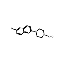 O=CN1CCN(c2ccc3cc(I)ccc3n2)CC1